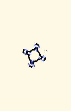 [Co].c1cnc2c(n1)-c1cc3[nH]c(cc4nc(cc5[nH]c(cc-2n1)c1nccnc51)-c1nccnc1-4)c1nccnc31